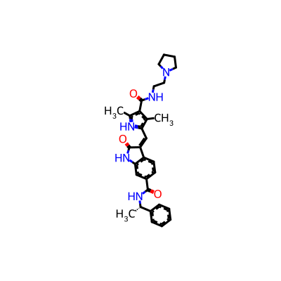 Cc1[nH]c(/C=C2\C(=O)Nc3cc(C(=O)N[C@@H](C)c4ccccc4)ccc32)c(C)c1C(=O)NCCN1CCCC1